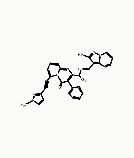 CC(NCc1c(N)nn2cccnc12)c1nc2cccc(C#Cc3ccn(C)n3)n2c(=O)c1-c1ccccc1